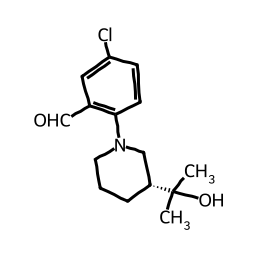 CC(C)(O)[C@@H]1CCCN(c2ccc(Cl)cc2C=O)C1